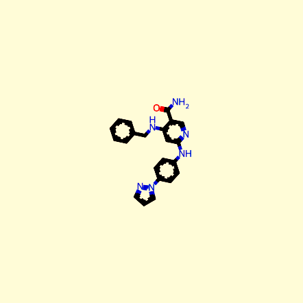 NC(=O)c1cnc(Nc2ccc(-n3cccn3)cc2)cc1NCc1ccccc1